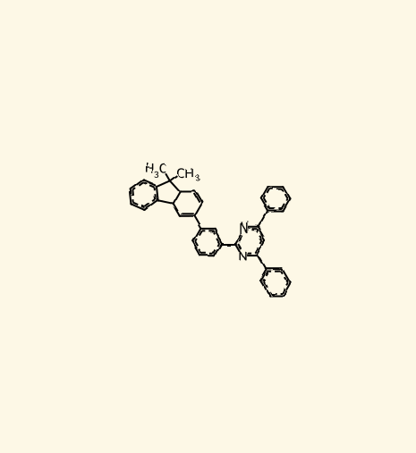 CC1(C)c2ccccc2C2C=C(c3cccc(-c4nc(-c5ccccc5)cc(-c5ccccc5)n4)c3)C=CC21